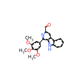 COc1cc(-c2nc([C]=O)cc3c2[nH]c2ccccc23)cc(OC)c1OC